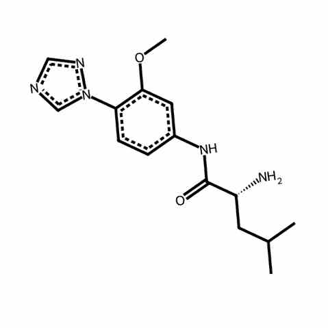 COc1cc(NC(=O)[C@H](N)CC(C)C)ccc1-n1cncn1